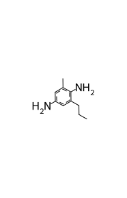 CCCc1cc(N)cc(C)c1N